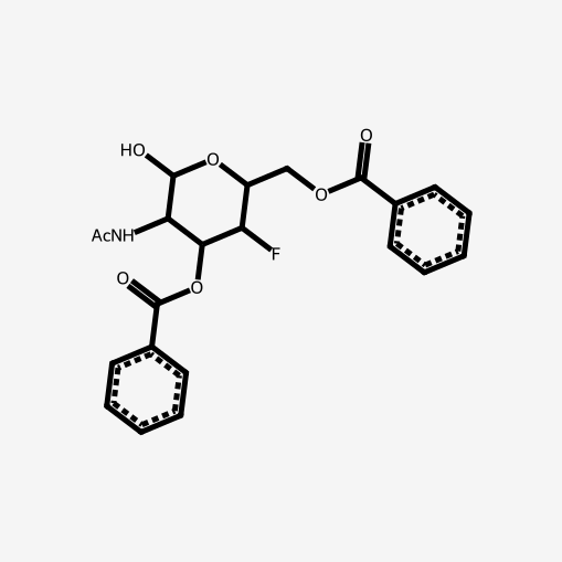 CC(=O)NC1C(O)OC(COC(=O)c2ccccc2)C(F)C1OC(=O)c1ccccc1